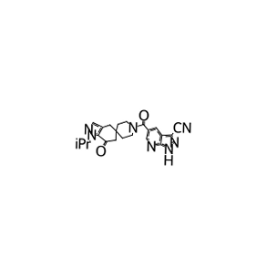 CC(C)n1ncc2c1C(=O)CC1(CCN(C(=O)c3cnc4[nH]nc(C#N)c4c3)CC1)C2